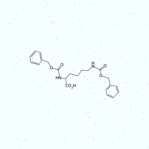 O=C(NCCCCC(NC(=O)OCc1ccccc1)C(=O)O)OCc1ccccc1